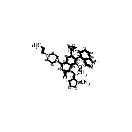 CC=CN1CCN(c2nc(=O)n(CC3CCCN3C)c3c(OC)c(-c4c(C)ccc5[nH]ncc45)c(C4CC4)cc23)CC1